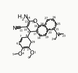 COC1=C(OC)I=CC(C2C(C#N)=C(N)Oc3c2ccc2c(N(C)C)cccc32)C1